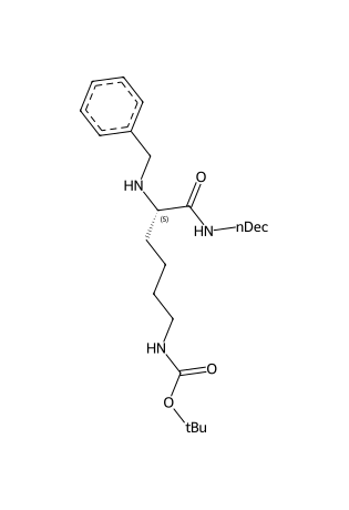 CCCCCCCCCCNC(=O)[C@H](CCCCNC(=O)OC(C)(C)C)NCc1ccccc1